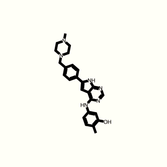 Cc1ccc(Nc2ncnc3[nH]c(-c4ccc(CN5CCN(C)CC5)cc4)cc23)cc1O